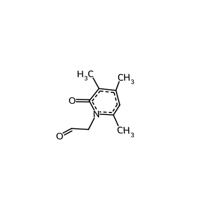 Cc1cc(C)n(CC=O)c(=O)c1C